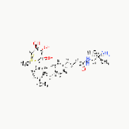 Cc1ccc([C@H]2[C@H](O)[C@H](O)[C@H](O)C[SH]2C)cc1Cc1ccc(CCCC(=O)NCC(C)(C)N)cc1